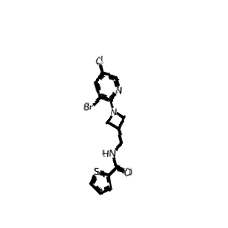 O=C(NCC1CN(c2ncc(Cl)cc2Br)C1)c1cccs1